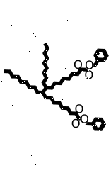 CCCCCCCCCC(CCCCCCCC(=O)C(=O)OCc1ccccc1)C(CCCCCCCCC)CCCCCCCC(=O)C(=O)OCc1ccccc1